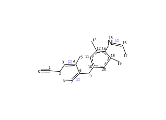 C#CC/C=C(C)\C(=C/C)Cc1cc(C)c(/N=C\C)c(C)c1